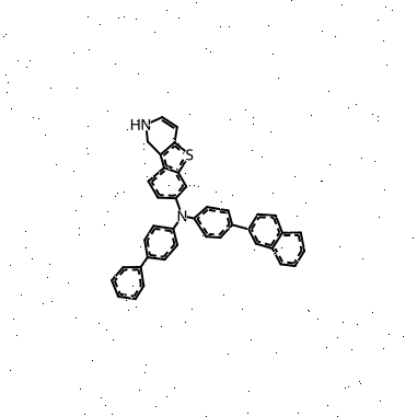 C1=Cc2sc3cc(N(c4ccc(-c5ccccc5)cc4)c4ccc(-c5ccc6ccccc6c5)cc4)ccc3c2CN1